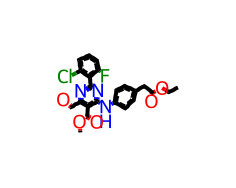 CCOC(=O)Cc1ccc(Nc2nc(-c3c(F)cccc3Cl)nc(C=O)c2C(=O)OC)cc1